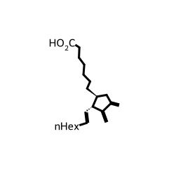 C=C1C[C@H](CCCCCCC(=O)O)[C@@H](C=CCCCCCC)C1=C